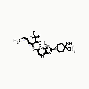 BC1(C)CCN(c2nc3nc(S/C(=C/C=C\C)C(=C)C(F)(F)F)cnc3s2)CC1